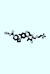 Cc1cc2c(cc1N1CCC13CCN(C(=O)OC(C)(C)C)CC3)N1C(=NN(COCC[Si](C)(C)C)C(=O)C1C)CO2